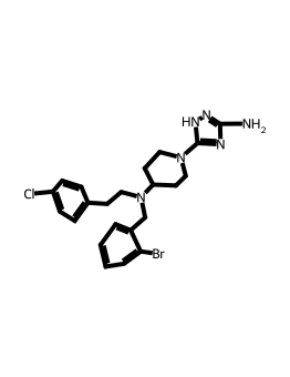 Nc1n[nH]c(N2CCC(N(CCc3ccc(Cl)cc3)Cc3ccccc3Br)CC2)n1